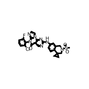 CS(=O)(=O)N1Cc2cc(Nc3ncc4c(=O)n(-c5c(F)cccc5Cl)c5nccn5c4n3)ccc2C2(CC2)C1